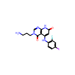 NCCCn1cnc2[nH]c(=O)cc(Nc3ccc(I)cc3F)c2c1=O